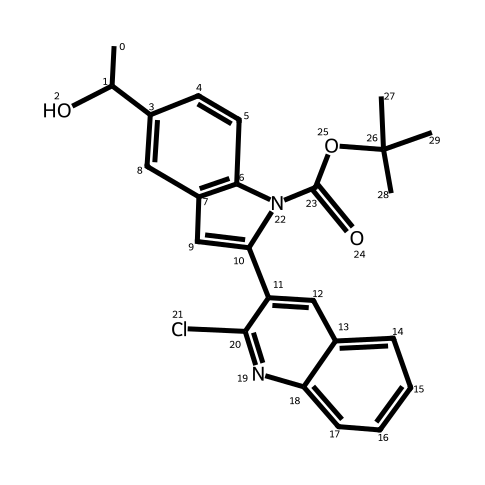 CC(O)c1ccc2c(c1)cc(-c1cc3ccccc3nc1Cl)n2C(=O)OC(C)(C)C